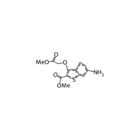 COC(=O)COc1c(C(=O)OC)sc2cc(N)ccc12